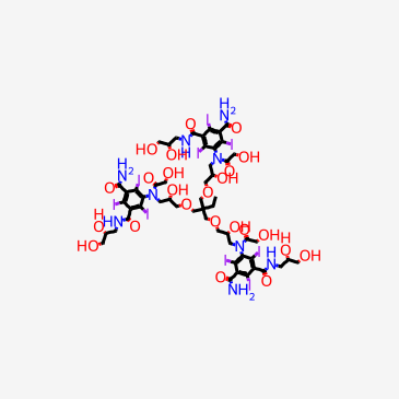 CCC(COCC(O)CN(C(=O)CO)c1c(I)c(C(N)=O)c(I)c(C(=O)NCC(O)CO)c1I)(COCC(O)CN(C(=O)CO)c1c(I)c(C(N)=O)c(I)c(C(=O)NCC(O)CO)c1I)COCC(O)CN(C(=O)CO)c1c(I)c(C(N)=O)c(I)c(C(=O)NCC(O)CO)c1I